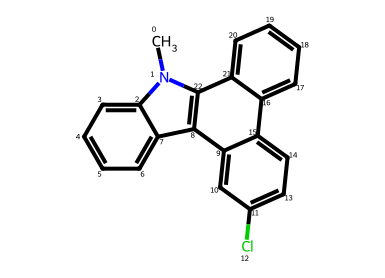 Cn1c2ccccc2c2c3cc(Cl)ccc3c3ccccc3c21